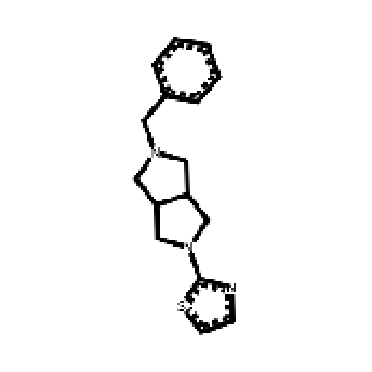 c1ccc(CN2CC3CN(c4nccs4)CC3C2)cc1